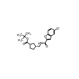 CC(C)(C)OC(=O)N1CC[C@H](CNC(=O)c2cc3cc(Cl)ccc3o2)C1